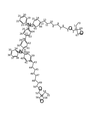 CCC1(COCCCCCCCCc2ccc(N(c3ccccc3)c3ccc(-c4ccc(N(c5ccccc5)c5ccc(CCCCCCCCOCC6(CC)COC6)cc5)cc4)cc3)cc2)COC1